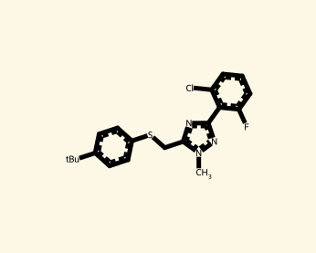 Cn1nc(-c2c(F)cccc2Cl)nc1CSc1ccc(C(C)(C)C)cc1